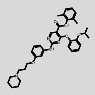 Cc1cccc(C)c1NC(=O)c1cnc(Nc2cccc(OCCCN3CCCCC3)c2)nc1Oc1ccccc1OC(C)C